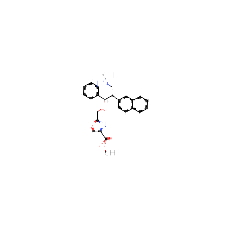 CNC[C@H](c1ccc2ccccc2c1)[C@H](OCc1nc(C(=O)OC)co1)c1ccccc1